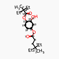 CCC(C)(CC)CCC(=O)Oc1ccc(OC(=O)C(C)(CC)CC)c(O)c1